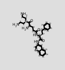 NCCN(CCN)C(=O)[C@@H](N)CCC(=O)N[C@@H](CCc1ccccc1)C(=O)Nc1cnc2ccccc2c1